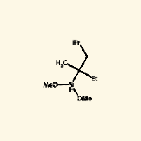 CCC(C)(CC(C)C)[SiH](OC)OC